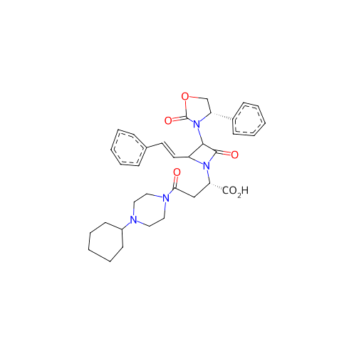 O=C(O)[C@H](CC(=O)N1CCN(C2CCCCC2)CC1)N1C(=O)C(N2C(=O)OC[C@@H]2c2ccccc2)C1C=Cc1ccccc1